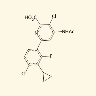 CC(=O)Nc1cc(-c2ccc(Cl)c(C3CC3)c2F)nc(C(=O)O)c1Cl